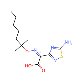 CCCCCC(C)(C)O/N=C(\C(=O)O)c1nsc(N)n1